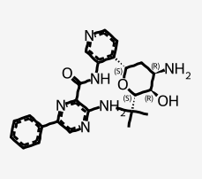 CC(C)(C)[C@@H]1O[C@H](c2ccncc2NC(=O)c2nc(-c3ccccc3)cnc2N)C[C@@H](N)[C@H]1O